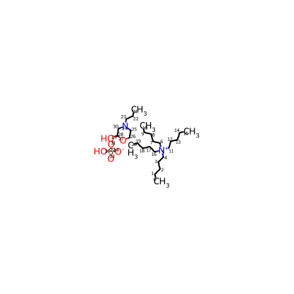 CCCCC[N+](CCCCC)(CCCCC)CCCCC.CCCN1CCOC(O)C1.O=S(=O)([O-])O